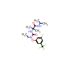 CCN(Oc1cc(F)cc(C(F)(F)F)c1)C(=O)NC(C)(C)C(=O)NC(C)C